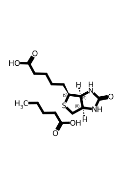 CCCCC(=O)O.O=C(O)CCCC[C@@H]1SC[C@@H]2NC(=O)N[C@@H]21